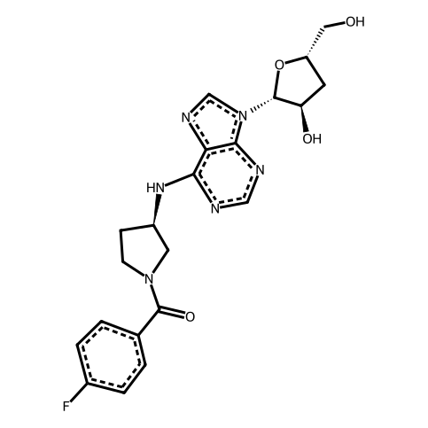 O=C(c1ccc(F)cc1)N1CC[C@@H](Nc2ncnc3c2ncn3[C@@H]2O[C@H](CO)C[C@H]2O)C1